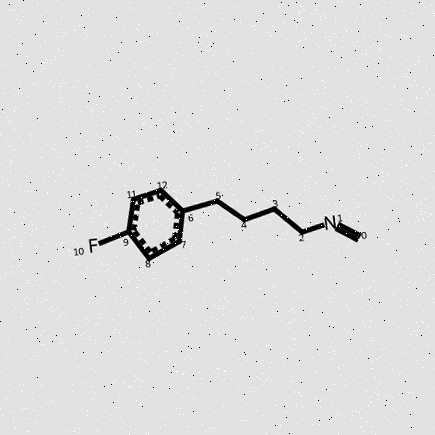 C=NCCCCc1ccc(F)cc1